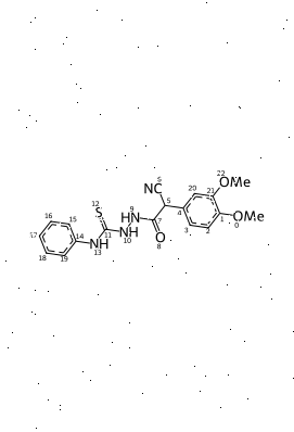 COc1ccc(C(C#N)C(=O)NNC(=S)Nc2ccccc2)cc1OC